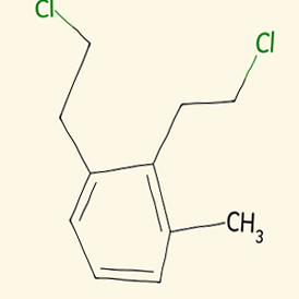 Cc1cccc(CCCl)c1CCCl